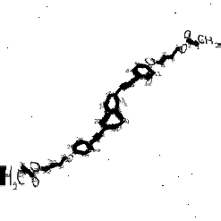 C=CC(=O)OCCCCOc1ccc(C#Cc2ccc3cc(C#Cc4ccc(OCCCCOC(=O)C=C)cc4)ccc3c2)cc1